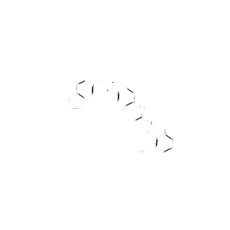 COc1cccc(F)c1C(C)NC(=O)Nc1ccc(S(=O)(=O)Cc2ccc3c(c2)CN(C)C3)cc1